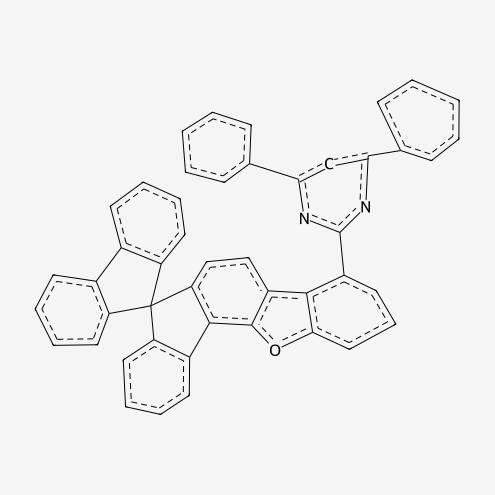 c1ccc(-c2cc(-c3ccccc3)nc(-c3cccc4oc5c6c(ccc5c34)C3(c4ccccc4-c4ccccc43)c3ccccc3-6)n2)cc1